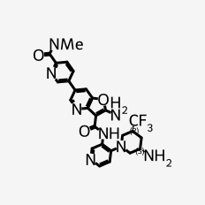 CNC(=O)c1ccc(-c2cnc3c(C(=O)Nc4cnccc4N4C[C@@H](N)C[C@@H](C(F)(F)F)C4)c(N)oc3c2)cn1